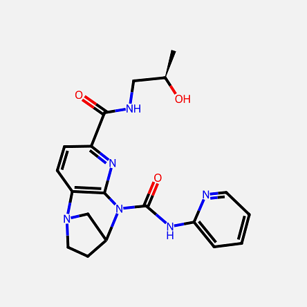 C[C@@H](O)CNC(=O)c1ccc2c(n1)N(C(=O)Nc1ccccn1)C1CCN2C1